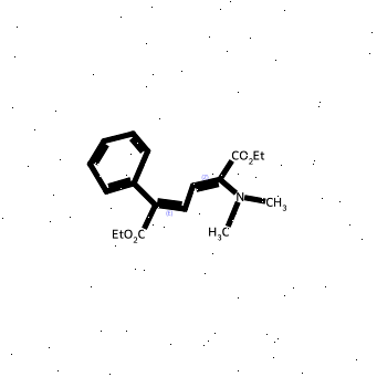 CCOC(=O)/C(=C/C=C(/C(=O)OCC)c1ccccc1)N(C)C